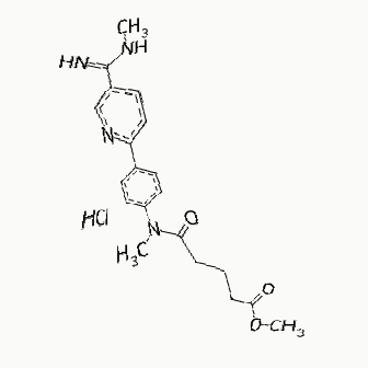 CNC(=N)c1ccc(-c2ccc(N(C)C(=O)CCCC(=O)OC)cc2)nc1.Cl